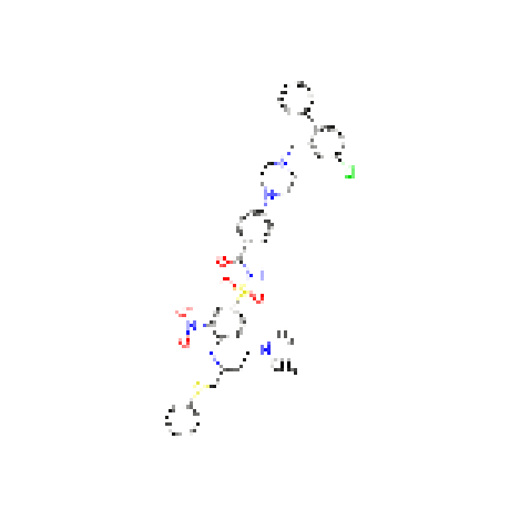 CN(C)CC[C@@H](CSc1ccccc1)Nc1ccc(S(=O)(=O)NC(=O)c2ccc(N3CCN(Cc4cc(Cl)ccc4-c4ccccc4)CC3)cc2)cc1[N+](=O)[O-]